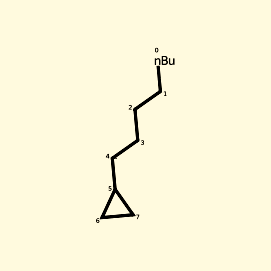 CCCCCCC[CH]C1CC1